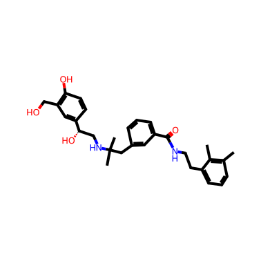 Cc1cccc(CCNC(=O)c2cccc(CC(C)(C)NC[C@H](O)c3ccc(O)c(CO)c3)c2)c1C